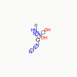 OC1CCC(N2c3nc(NCC4CCC4)ncc3-c3ccc(CN4CCN(c5ccncc5)CC4)cc3C2O)CC1